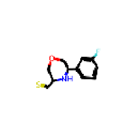 Fc1cccc(C2COCC(C=S)N2)c1